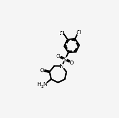 NC1CCCN(S(=O)(=O)c2ccc(Cl)c(Cl)c2)CC1=O